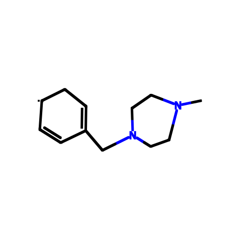 CN1CCN(CC2=CC[CH]C=C2)CC1